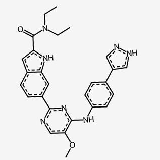 CCN(CC)C(=O)c1cc2ccc(-c3ncc(OC)c(Nc4ccc(-c5cn[nH]c5)cc4)n3)cc2[nH]1